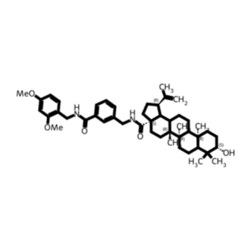 C=C(C)[C@@H]1CC[C@]2(C(=O)NCc3cccc(C(=O)NCc4ccc(OC)cc4OC)c3)CC[C@]3(C)C(CCC4[C@@]5(C)CC[C@H](O)C(C)(C)C5CC[C@]43C)C12